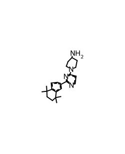 CC1(C)CCC(C)(C)c2cc(-c3nccc(N4CCC(N)CC4)n3)ccc21